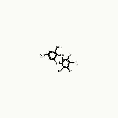 O=[N+]([O-])c1cc([N+](=O)[O-])c(Nc2c(Br)c(Br)c(Br)c(C(F)(F)F)c2Br)c([N+](=O)[O-])c1